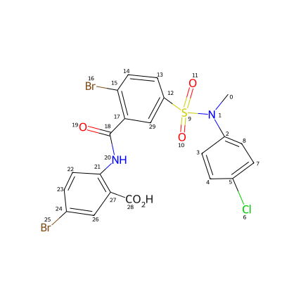 CN(c1ccc(Cl)cc1)S(=O)(=O)c1ccc(Br)c(C(=O)Nc2ccc(Br)cc2C(=O)O)c1